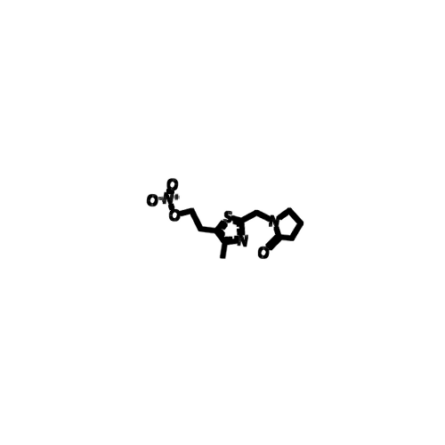 Cc1nc(CN2CCCC2=O)sc1CCO[N+](=O)[O-]